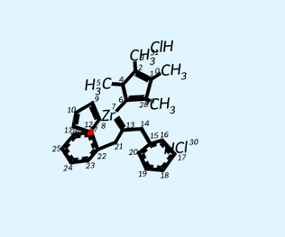 CC1=C(C)C(C)[C]([Zr]([C]2=CC=CC2)=[C](Cc2ccccc2)Cc2ccccc2)=C1C.Cl.Cl